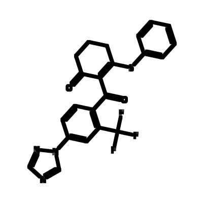 O=C1CCCC(Sc2ccccc2)=C1C(=O)c1ccc(-n2cncn2)cc1C(F)(F)F